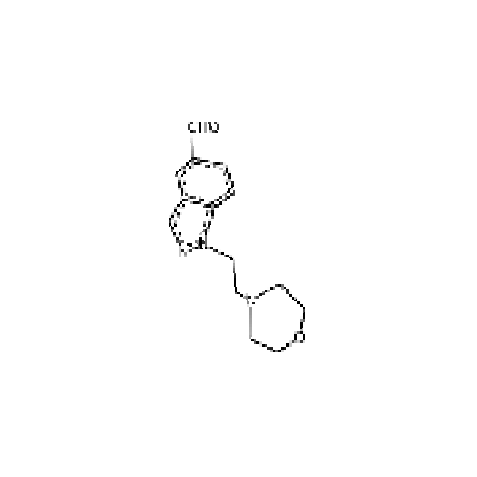 O=Cc1ccc2c(cnn2CCN2CCOCC2)c1